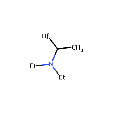 CCN(CC)[CH](C)[Hf]